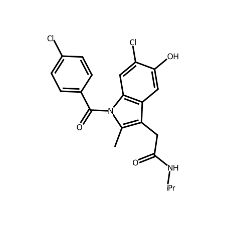 Cc1c(CC(=O)NC(C)C)c2cc(O)c(Cl)cc2n1C(=O)c1ccc(Cl)cc1